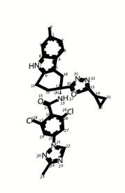 Cc1ccc2c3c([nH]c2c1)CC[C@](NC(=O)c1c(Cl)cc(-n2cnc(C)n2)cc1Cl)(c1nnc(C2CC2)o1)C3